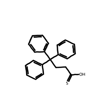 OC(=S)CCC(c1ccccc1)(c1ccccc1)c1ccccc1